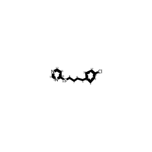 Clc1ccc(CCCCSc2ccn[c]n2)cc1